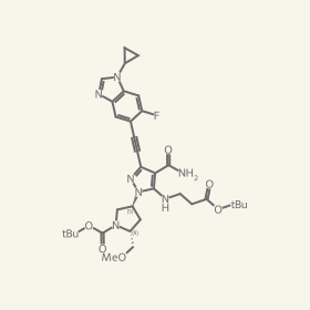 COC[C@H]1C[C@H](n2nc(C#Cc3cc4ncn(C5CC5)c4cc3F)c(C(N)=O)c2NCCC(=O)OC(C)(C)C)CN1C(=O)OC(C)(C)C